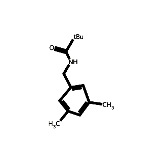 Cc1cc(C)cc(CNC(=O)C(C)(C)C)c1